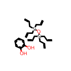 C=CC[Si](CC=C)(CC=C)O[Si](CC=C)(CC=C)CC=C.Oc1ccccc1O